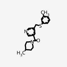 Cc1cccc(SCc2cncc(C(=O)N3CCC(C)CC3)c2)c1